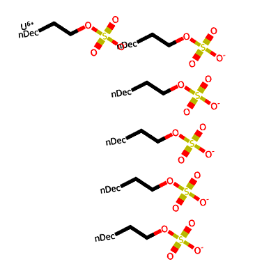 CCCCCCCCCCCCOS(=O)(=O)[O-].CCCCCCCCCCCCOS(=O)(=O)[O-].CCCCCCCCCCCCOS(=O)(=O)[O-].CCCCCCCCCCCCOS(=O)(=O)[O-].CCCCCCCCCCCCOS(=O)(=O)[O-].CCCCCCCCCCCCOS(=O)(=O)[O-].[U+6]